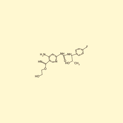 C[C@H](O)[C@@H](NC(=O)Nc1cc(N)c(C(=N)OCCO)cn1)c1ccc(F)cc1